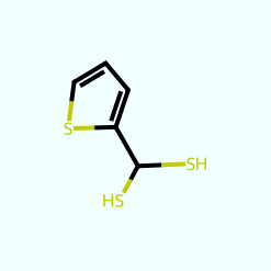 SC(S)c1cccs1